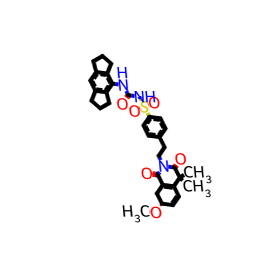 CO[C@H]1C=CC2=C(C1)C(=O)N(CCc1ccc(S(=O)(=O)NC(=O)Nc3c4c(cc5c3CCC5)CCC4)cc1)C(=O)C2(C)C